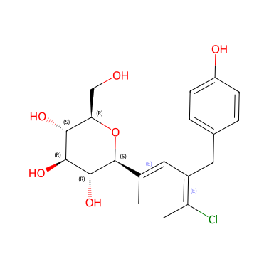 C/C(=C\C(Cc1ccc(O)cc1)=C(/C)Cl)[C@@H]1O[C@H](CO)[C@@H](O)[C@H](O)[C@H]1O